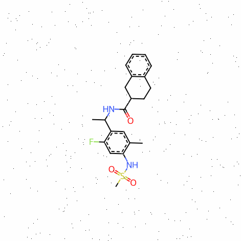 Cc1cc(C(C)NC(=O)C2CCc3ccccc3C2)c(F)cc1NS(C)(=O)=O